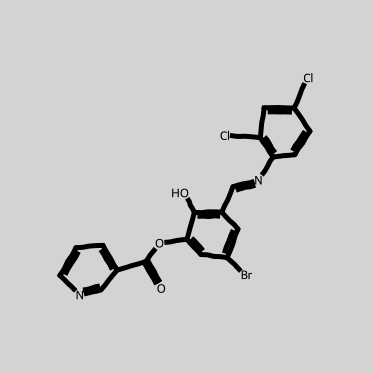 O=C(Oc1cc(Br)cc(C=Nc2ccc(Cl)cc2Cl)c1O)c1cccnc1